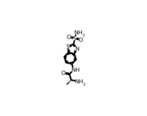 C[C@H](N)C(=O)Nc1ccc2sc(S(N)(=O)=O)nc2c1